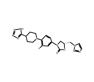 O=C1O[C@@H](Cn2ccnn2)CN1c1ccc(N2CCC(c3nnn[nH]3)CC2)c(F)c1